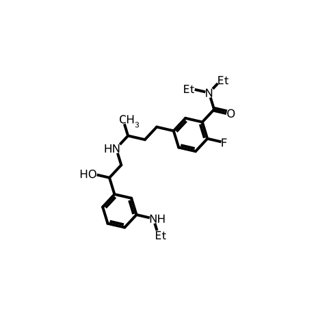 CCNc1cccc(C(O)CNC(C)CCc2ccc(F)c(C(=O)N(CC)CC)c2)c1